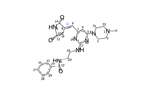 CN1CCN(c2cc(/C=C3\SC(=O)NC3=O)nc(NCCNC(=O)c3ccccc3)n2)CC1